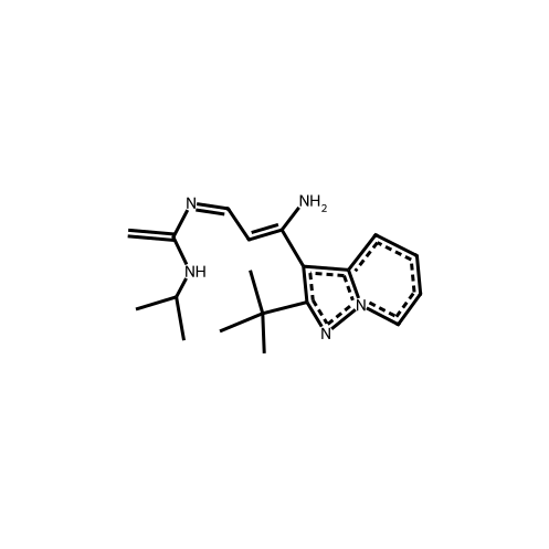 C=C(/N=C\C=C(/N)c1c(C(C)(C)C)nn2ccccc12)NC(C)C